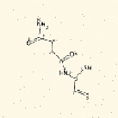 C=CC(S)NC(=O)CCC(N)=O